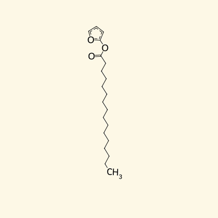 CCCCCCCCCCCCCCCC(=O)Oc1ccco1